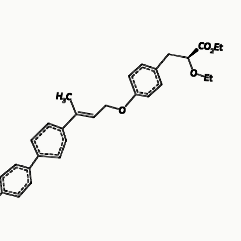 CCOC(=O)[C@H](Cc1ccc(OC/C=C(\C)c2ccc(-c3ccc(Br)cc3)cc2)cc1)OCC